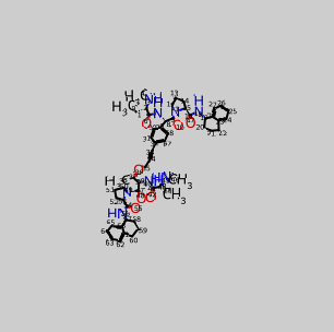 CC[C@H](NC)C(=O)N[C@H](C(=O)N1CCC[C@H]1C(=O)N[C@@H]1CCCc2ccccc21)c1ccc(C#CCO[C@H](C)[C@H](NC(=O)[C@H](C)NC)C(=O)N2CCCC2C(=O)N[C@@H]2CCCc3ccccc32)cc1